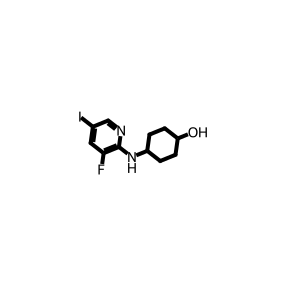 OC1CCC(Nc2ncc(I)cc2F)CC1